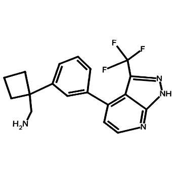 NCC1(c2cccc(-c3ccnc4[nH]nc(C(F)(F)F)c34)c2)CCC1